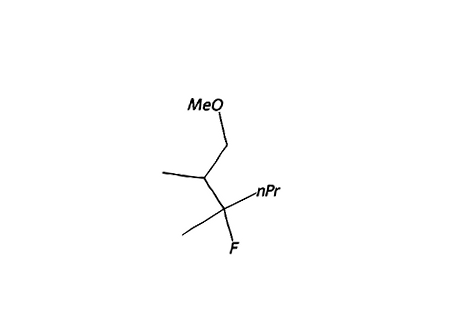 CCCC(C)(F)C(C)COC